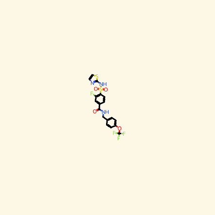 O=C(NCc1ccc(OC(F)(F)F)cc1)c1ccc(S(=O)(=O)Nc2nccs2)c(F)c1